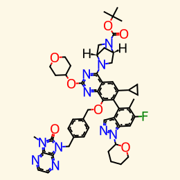 Cc1c(F)cc2c(cnn2C2CCCCO2)c1-c1c(C2CC2)cc2c(N3C[C@@H]4C[C@H]3CN4C(=O)OC(C)(C)C)nc(OC3CCOCC3)nc2c1OCc1ccc(Cn2c(=O)n(C)c3nccnc32)cc1